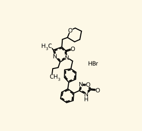 Br.CCCc1nc(C)c(CC2CCCCO2)c(=O)n1Cc1ccc(-c2ccccc2-c2noc(=O)[nH]2)cc1